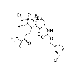 CCOP(=O)(OCC)C(O)C(CCC(=O)N(C)C)NC(=O)C(CC(C)(C)C)NC(=O)OCc1cccc(Cl)c1